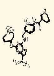 CC(C)c1cnn2c(NCc3ccc(NC(=O)C4CCCNC4)[n+]([O-])c3)nc(OC3CCN(C)CC3)nc12